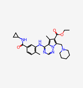 CCOC(=O)c1c(C)c2c(Nc3cc(C(=O)NC4CC4)ccc3C)ncnn2c1CN1CCCCC1